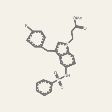 COC(=O)CCn1cc(Cc2ccc(F)cc2)c2cc(NS(=O)(=O)c3ccccc3)ccc21